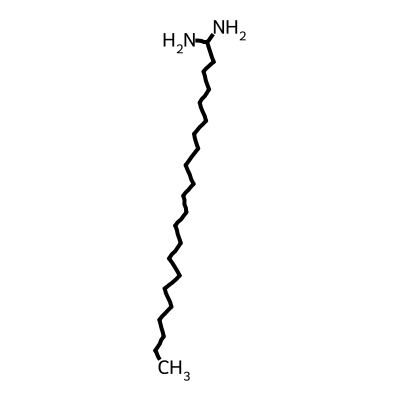 CCCCCCCCCCCCCCCCCCCCCC(N)N